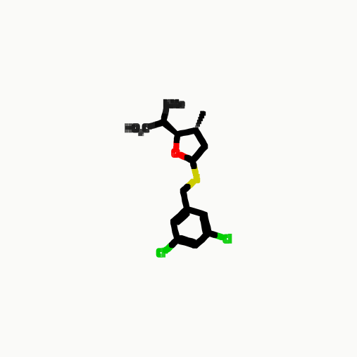 CNC(C(=O)O)[C@@H]1OC(SCc2cc(Cl)cc(Cl)c2)C[C@H]1C